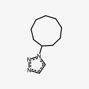 c1cn(C2CCCCCCCC2)nn1